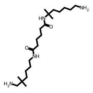 CC(C)(CN)CCCCNC(=O)CCCCC(=O)NC(C)(C)CCCCCN